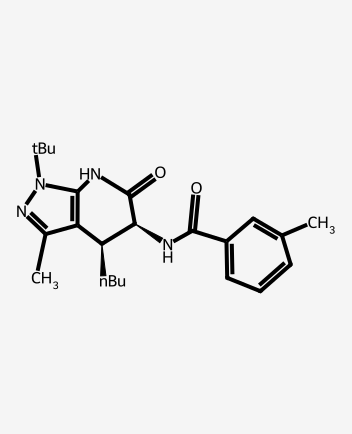 CCCC[C@H]1c2c(C)nn(C(C)(C)C)c2NC(=O)[C@H]1NC(=O)c1cccc(C)c1